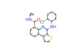 CC(C)NC(=O)c1cccc2c1nc(Nc1ccccc1Cl)c1sccc12